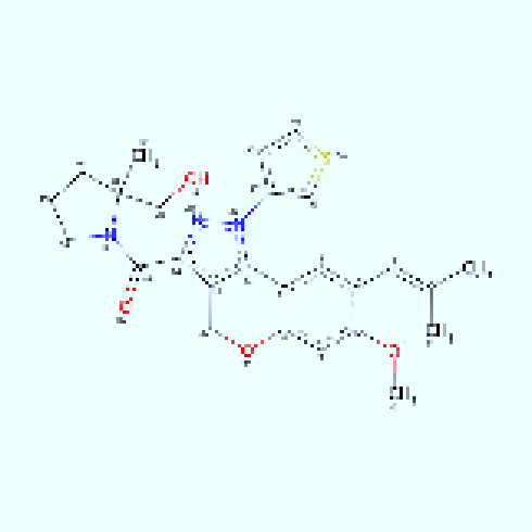 COc1cc2c(cc1C=C(C)C)-c1c(c(C(=O)N3CCCC3(C)CO)nn1-c1ccsc1)CO2